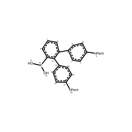 CCCCCc1ccc(-c2cccc(P(O)O)c2-c2ccc(CCCCC)cc2)cc1